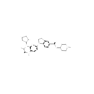 CCC1C(=O)N(C)c2ccc(N3CCc4cc(C(=O)NC5CCN(C)CC5)ccc43)nc2N1C1CCCC1